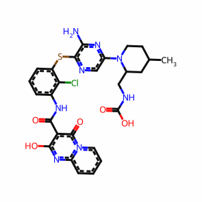 CC1CCN(c2cnc(Sc3cccc(NC(=O)c4c(O)nc5ccccn5c4=O)c3Cl)c(N)n2)C(CNC(=O)O)C1